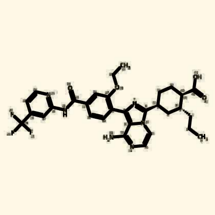 CCC[C@@H]1C[C@@H](c2nc(-c3ccc(C(=O)Nc4cc(C(F)(F)F)ccn4)cc3OCC)c3c(N)nccn23)CC[C@H]1C(=O)O